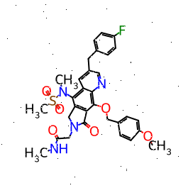 CNC(=O)CN1Cc2c(c(OCc3ccc(OC)cc3)c3ncc(Cc4ccc(F)cc4)cc3c2N(C)S(C)(=O)=O)C1=O